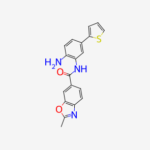 Cc1nc2ccc(C(=O)Nc3cc(-c4cccs4)ccc3N)cc2o1